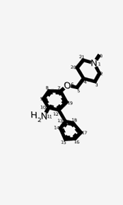 CN1CCC(COc2ccc(N)c(-c3ccccc3)c2)CC1